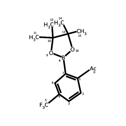 CC(=O)c1ccc(C(F)(F)F)cc1B1OC(C)(C)C(C)(C)O1